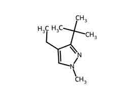 CCc1cn(C)nc1C(C)(C)C